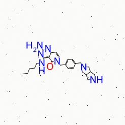 CCCCCNc1nc(N)nc2ccn(Cc3ccc(CN4CC5CNCC5C4)cc3)c(=O)c12